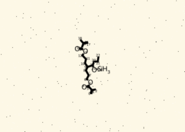 C=C(C)C(=O)OCCCC(CCCOC(=O)C(=C)C)C(CCC)O[SiH3]